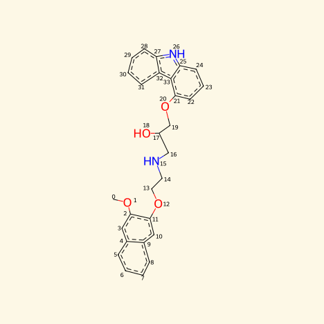 COc1cc2ccccc2cc1OCCNCC(O)COc1cccc2[nH]c3ccccc3c12